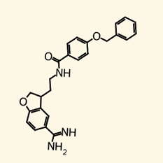 N=C(N)c1ccc2c(c1)C(CCNC(=O)c1ccc(OCc3ccccc3)cc1)CO2